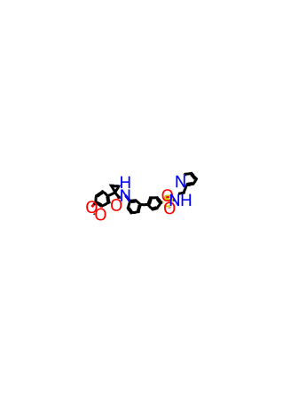 O=C(Nc1cccc(-c2ccc(S(=O)(=O)NCCc3ccccn3)cc2)c1)C1(c2ccc3c(c2)OCO3)CC1